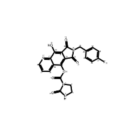 O=C1NCCN1C(=O)Oc1c2c(c(O)c3ncccc13)C(=O)N(Cc1ccc(F)cc1)C2=O